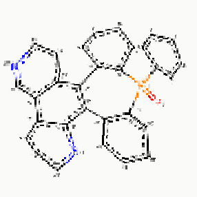 O=P1(c2ccccc2)c2ccccc2-c2c(c3ncccc3c3cnccc23)-c2ccccc21